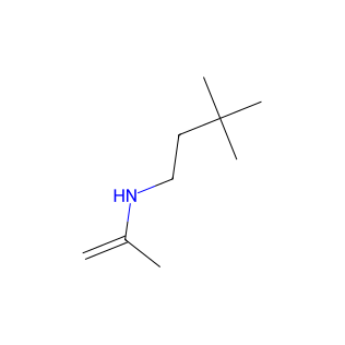 C=C(C)NCCC(C)(C)C